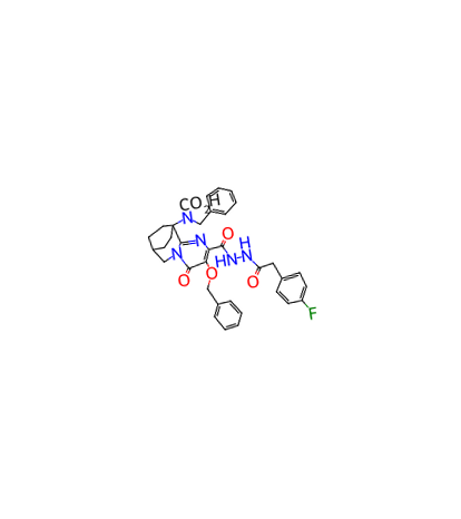 O=C(Cc1ccc(F)cc1)NNC(=O)c1nc2n(c(=O)c1OCc1ccccc1)CC1CCC2(N(Cc2ccccc2)C(=O)O)CC1